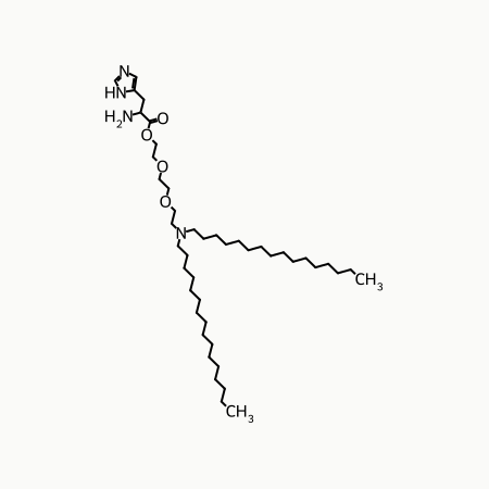 CCCCCCCCCCCCCCCCN(CCCCCCCCCCCCCCCC)CCOCCOCCOC(=O)C(N)Cc1cnc[nH]1